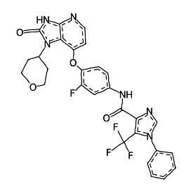 O=C(Nc1ccc(Oc2ccnc3[nH]c(=O)n(C4CCOCC4)c23)c(F)c1)c1ncn(-c2ccccc2)c1C(F)(F)F